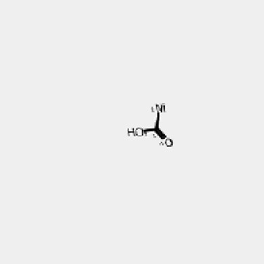 O=[C](O)[Ni]